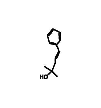 CC(C)(O)CC=Cc1ccccc1